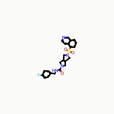 O=C(NCc1ccc(F)cc1)N1CC2=C(C1)CN(S(=O)(=O)c1cccc3cnccc13)C2